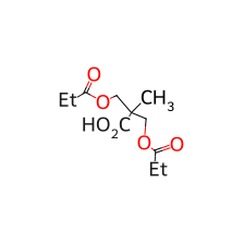 CCC(=O)OCC(C)(COC(=O)CC)C(=O)O